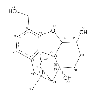 CN1CC[C@]23c4c5ccc(CO)c4OC2C(O)CC[C@@]3(O)C1C5